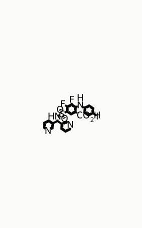 O=C(O)c1cc(S(=O)(=O)NC(c2cccnc2)c2cccnc2)c(F)c(F)c1Nc1ccc(I)cc1